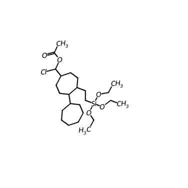 CCO[Si](CCC1CCC(C(Cl)OC(C)=O)CCC1C1CCCCCC1)(OCC)OCC